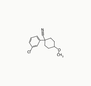 COC1CCC(C#N)(c2cccc(Cl)c2)CC1